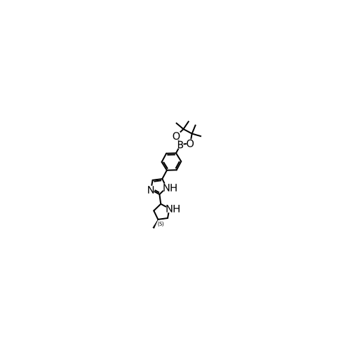 C[C@@H]1CNC(c2ncc(-c3ccc(B4OC(C)(C)C(C)(C)O4)cc3)[nH]2)C1